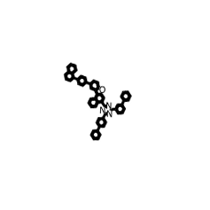 c1ccc(-c2ccc(-c3nc(-c4cccc(-c5ccccc5)c4)nc(-c4cc5oc6ccc(-c7ccc(-c8cccc9ccccc89)cc7)cc6c5c5ccccc45)n3)cc2)cc1